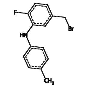 Cc1ccc(Nc2cc(CBr)ccc2F)cc1